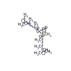 CC1=C(/C=C/C(C)=C/C=C/C(C)=C/C(=O)Oc2cc(OC(=O)/C=C(C)/C=C/C=C(C)/C=C/C3=C(C)CCCC3(C)C)c3c(C)cc(=O)oc3c2)C(C)(C)CCC1